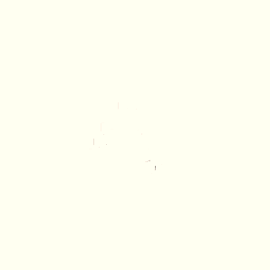 C=C(C)C(=O)OC(CSCCC(F)(C(F)(F)F)C(F)(F)F)CSCCC(F)(C(F)(F)F)C(F)(F)F